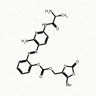 C[C@H](N)C(=O)Nc1ccc(/N=N/c2ccccc2OC(=O)OCc2oc(=O)oc2C(C)(C)C)c(N)n1